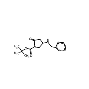 CC(C)(C)OC(=O)N1CC(NCc2ccccc2)CC1=O